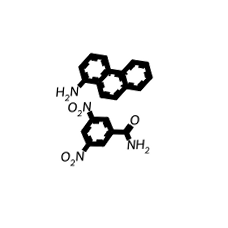 NC(=O)c1cc([N+](=O)[O-])cc([N+](=O)[O-])c1.Nc1cccc2c1ccc1ccccc12